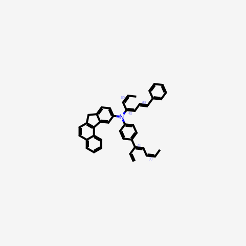 C=C/C(=C\C=C/C)c1ccc(N(C(/C=C\C)=C/C=C/c2ccccc2)c2ccc3c(c2)-c2c(ccc4ccccc24)C3)cc1